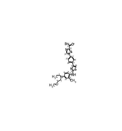 CCN(CCOC)c1ccc(Nc2nc(-c3ccc(-n4cnc(C(=O)Br)n4)cc3)cs2)c(C)c1